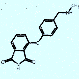 CNCc1ccc(Oc2cccc3c2C(=O)NC3=O)cc1